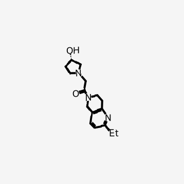 CCc1ccc2c(n1)CCN(C(=O)CN1CC[C@H](O)C1)C2